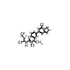 CCC(CCC(F)(F)F)NC(=O)N(CC)C(C)c1cccc(-c2cc(Cl)n3nccc3c2)c1